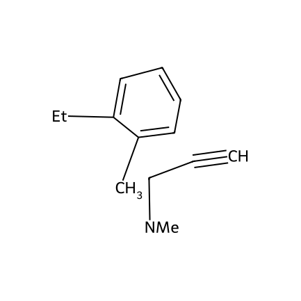 C#CCNC.CCc1ccccc1C